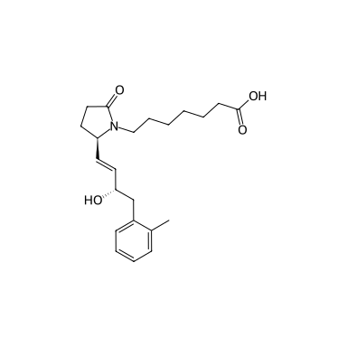 Cc1ccccc1C[C@H](O)/C=C/[C@H]1CCC(=O)N1CCCCCCC(=O)O